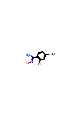 NC(=NO)c1ccc(C(=O)O)cc1C(F)(F)F